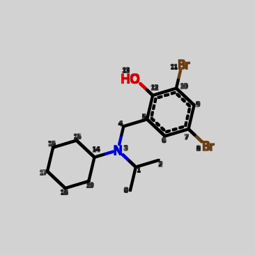 CC(C)N(Cc1cc(Br)cc(Br)c1O)C1CCCCC1